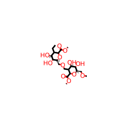 CCC1C(C(=O)OC)O[C@@H](COCC2C(C(=O)OC)O[C@H](COC)C(O)[C@@H]2O)C(O)[C@@H]1O